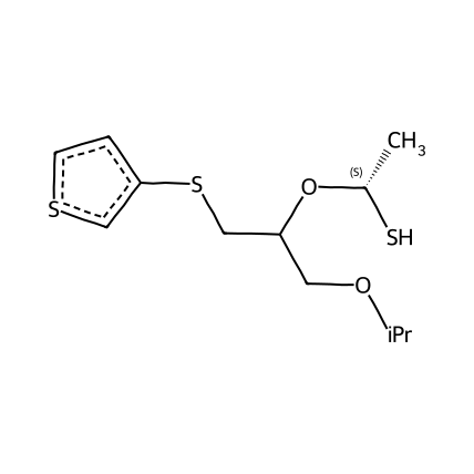 CC(C)OCC(CSc1ccsc1)O[C@H](C)S